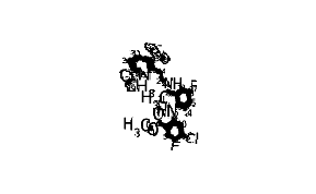 COC(=O)c1cc(F)c(Cl)cc1Nc1ccc(F)cc1C(C)NCCc1nc(OC)ccc1[N+](=O)[O-]